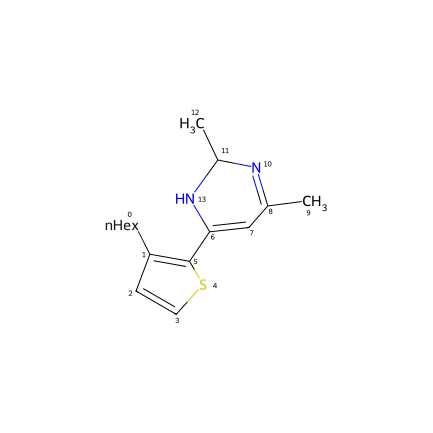 CCCCCCc1ccsc1C1=CC(C)=NC(C)N1